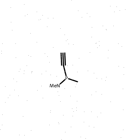 C#CP(C)NC